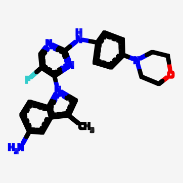 Cc1cn(-c2nc(Nc3ccc(N4CCOCC4)cc3)ncc2F)c2ccc(N)cc12